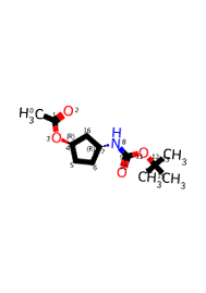 CC(=O)O[C@@H]1CC[C@@H](NC(=O)OC(C)(C)C)C1